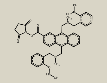 CN(Cc1ccccc1OBO)Cc1c2ccccc2c(CN(C)Cc2ccccc2B(O)O)c2cc(C(=O)ON3C(=O)CCC3=O)ccc12